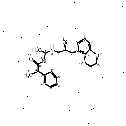 CC(NCC(O)Cc1cccc2c1OCCO2)NC(=O)C(C)c1ccccc1